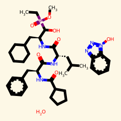 CCP(=O)(OC)C(O)[C@H](CC1CCCCC1)NC(=O)[C@H](CC(C)C)NC(=O)[C@H](Cc1ccccc1)NC(=O)C1CCCC1.O.On1nnc2ccccc21